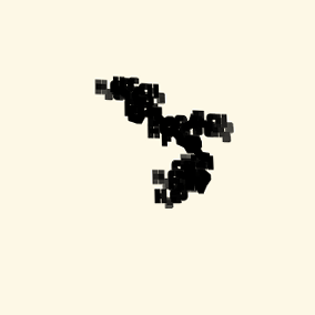 COC(=O)N[C@H](C(=O)N1CCC[C@H]1c1ncc(-c2cc(F)c3c(c2)OC(c2cnc(C(C)C)s2)n2c-3cc3cc(-c4cnc([C@@H]5CC6C[C@H]6N5C(=O)[C@@H](NC(=O)OC)C(C)C)[nH]4)ccc32)[nH]1)C(C)C